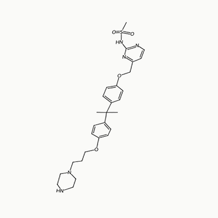 CC(C)(c1ccc(OCCCN2CCNCC2)cc1)c1ccc(OCc2ccnc(NS(C)(=O)=O)n2)cc1